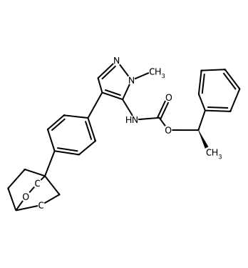 C[C@@H](OC(=O)Nc1c(-c2ccc(C34CCC(CC3)OC4)cc2)cnn1C)c1ccccc1